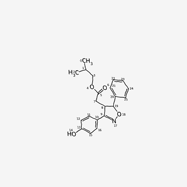 CC(C)COC(=O)CC1C(c2ccc(O)cc2)=NOC1c1ccccc1